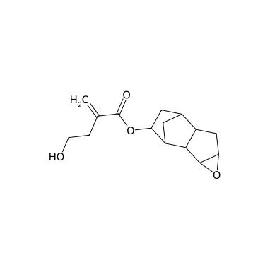 C=C(CCO)C(=O)OC1CC2CC1C1C2CC2OC21